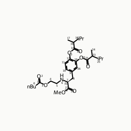 CCCCC(=O)OCCN[C@@H](Cc1ccc(OC(=O)C(C)C(C)C)c(OC(=O)C(C)C(C)C)c1)C(=O)OC